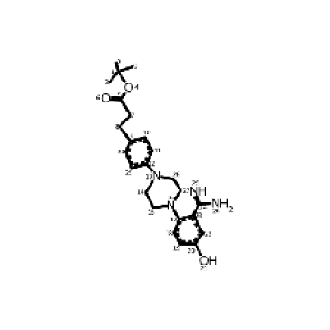 CC(C)(C)OC(=O)CCc1ccc(N2CCN(c3ccc(O)cc3C(=N)N)CC2)cc1